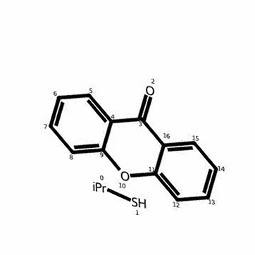 CC(C)S.O=c1c2ccccc2oc2ccccc12